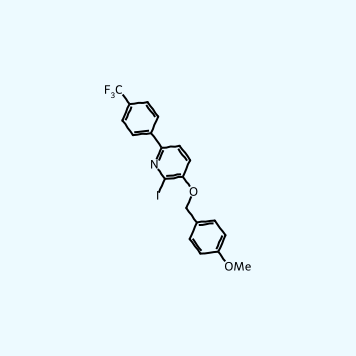 COc1ccc(COc2ccc(-c3ccc(C(F)(F)F)cc3)nc2I)cc1